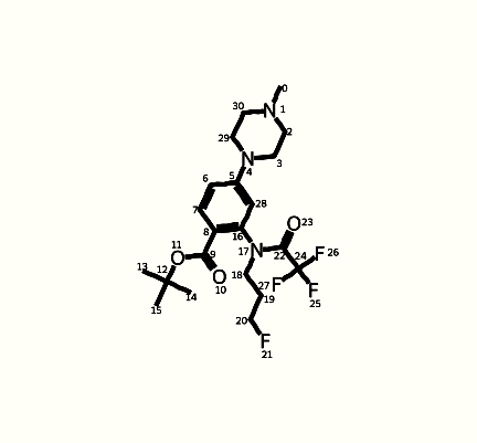 CN1CCN(c2ccc(C(=O)OC(C)(C)C)c(N(CCCF)C(=O)C(F)(F)F)c2)CC1